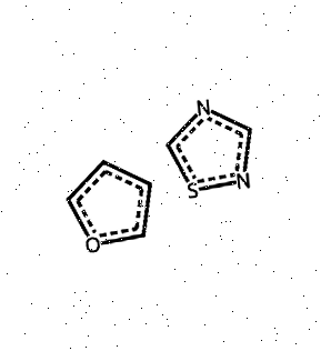 c1ccoc1.c1ncsn1